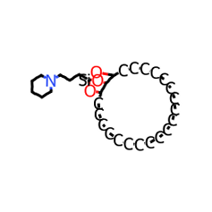 C1CCCCCCCCCC2O[Si]3(CCCN4CCCCC4)OC(CCCCCCCCC1)C2O3